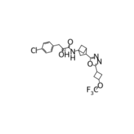 O=C(NC12CC(C1)C(c1nnc(C3CC(OC(F)(F)F)C3)o1)C2)[C@@H](O)Cc1ccc(Cl)cc1